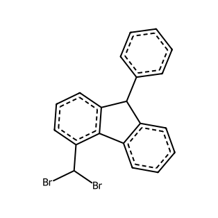 BrC(Br)c1cccc2c1-c1ccccc1C2c1ccccc1